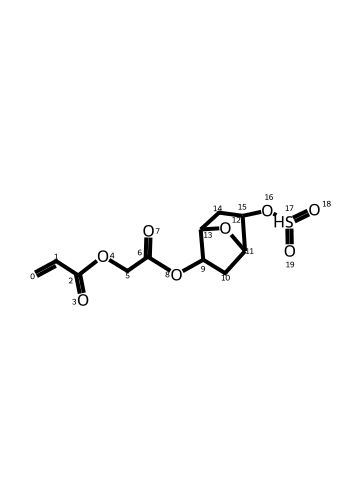 C=CC(=O)OCC(=O)OC1CC2OC1CC2O[SH](=O)=O